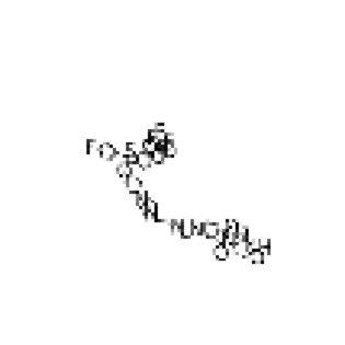 O=C1CCC(N2C(=O)c3ccc(N4CCN(CCCN5CCN(c6ccc(Oc7c(-c8ccc(F)cc8)sc8cc(OS(=O)(=O)C(F)(F)F)ccc78)cc6)CC5)CC4)cc3C2=O)C(=O)N1